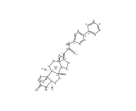 C[C@]12C=CC(=O)N[C@@H]1CC[C@@H]1[C@@H]2CC[C@]2(C)[C@@H](CC(=O)Nc3ccc(-c4cccnc4)cn3)CC[C@@H]12